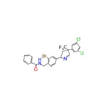 O=C(NCc1ccc(C2CC(c3cc(Cl)cc(Cl)c3)(C(F)(F)F)C=N2)cc1Br)c1ccccc1